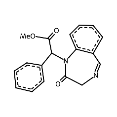 COC(=O)C(c1ccccc1)N1C(=O)CN=Cc2ccccc21